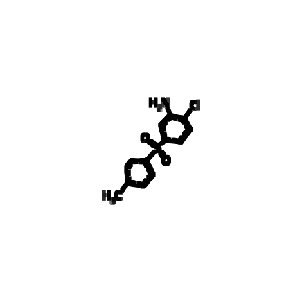 Cc1ccc(S(=O)(=O)c2ccc(Cl)c(N)c2)cc1